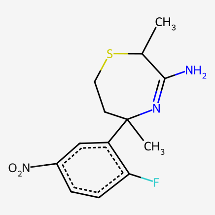 CC1SCCC(C)(c2cc([N+](=O)[O-])ccc2F)N=C1N